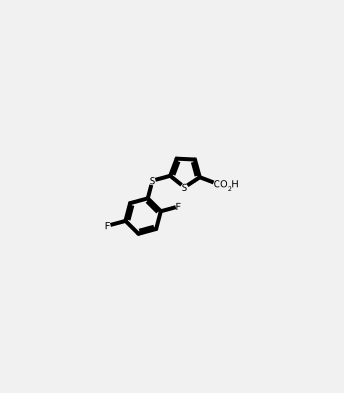 O=C(O)c1ccc(Sc2cc(F)ccc2F)s1